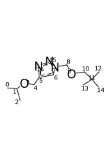 CC(C)OCc1cn(COCC(C)(C)C)nn1